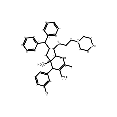 CC1=C(C(=O)O)C(c2cccc(Cl)c2)C(CCC(c2ccccc2)c2ccccc2)(C(=O)O)C(COCCN2CCOCC2)N1